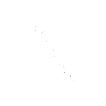 C=C(C)C(=O)OCCNC(=O)OCNC(=O)C(C)C(C)C